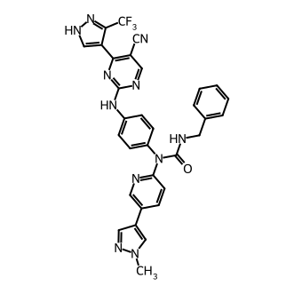 Cn1cc(-c2ccc(N(C(=O)NCc3ccccc3)c3ccc(Nc4ncc(C#N)c(-c5c[nH]nc5C(F)(F)F)n4)cc3)nc2)cn1